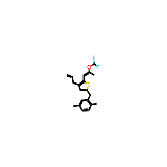 C=CCc1cc(Cc2cc(C)ccc2C)sc1/C=C(\C)OC(F)F